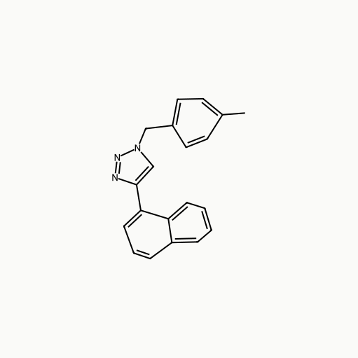 Cc1ccc(Cn2cc(-c3cccc4ccccc34)nn2)cc1